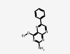 CCOc1nc(N)nc2ncc(-c3ccccc3)nc12